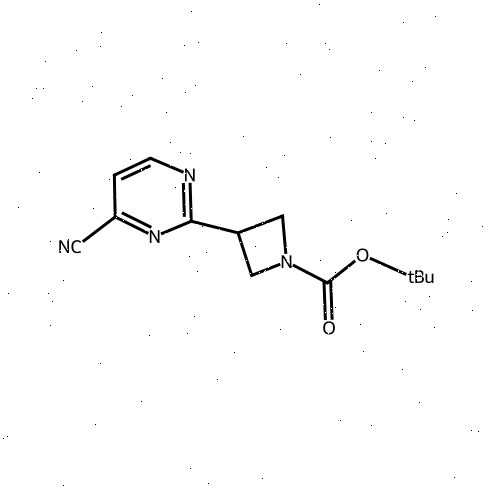 CC(C)(C)OC(=O)N1CC(c2nccc(C#N)n2)C1